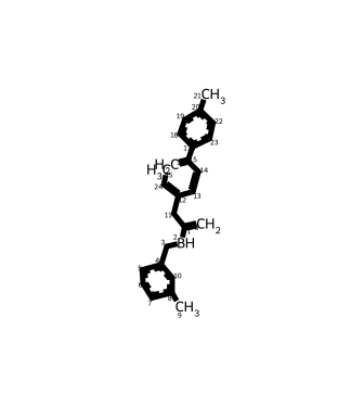 C=C(BCc1cccc(C)c1)CC(/C=C\C(=C)c1ccc(C)cc1)=C/C